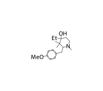 CCC1(O)CCN(C)C(Cc2ccc(OC)cc2)C1(C)C